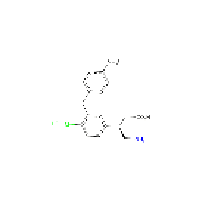 Cl.NC[C@H](CC(=O)O)c1ccc(Cl)c(Cc2ccc(C(=O)O)cc2)c1